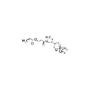 C=CC(=O)OCCC(=O)OCC(CC)C1COC(C)(C)OC1